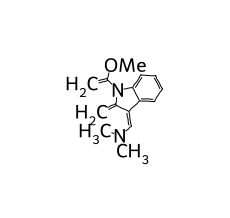 C=C(OC)n1c(=C)/c(=C\N(C)C)c2ccccc21